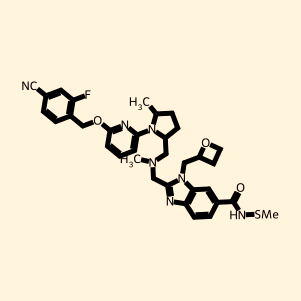 CSNC(=O)c1ccc2nc(CN(C)CC3CCC(C)N3c3cccc(OCc4ccc(C#N)cc4F)n3)n(CC3CCO3)c2c1